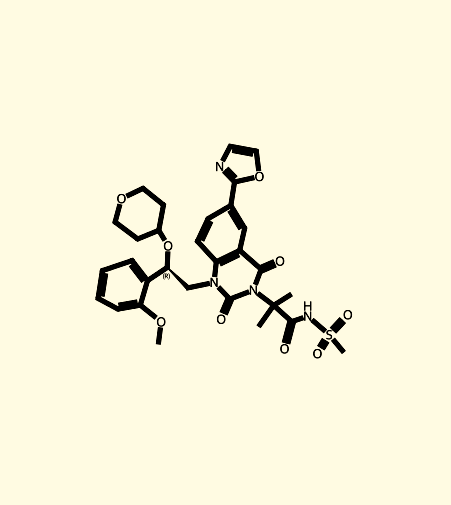 COc1ccccc1[C@H](Cn1c(=O)n(C(C)(C)C(=O)NS(C)(=O)=O)c(=O)c2cc(-c3ncco3)ccc21)OC1CCOCC1